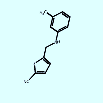 Cc1cccc(NCc2ccc(C#N)s2)c1